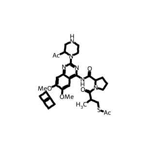 C1CC2=C1CC2.COc1cc2nc(N3CCNCC3C(C)=O)nc(NC(=O)C3CCCN3C(=O)C(C)CSC(C)=O)c2cc1OC